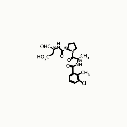 Cc1c(Cl)cccc1C(=O)N[C@@H](C)C(=O)N1CCC[C@H]1C(=O)N[C@H](C=O)CC(=O)O